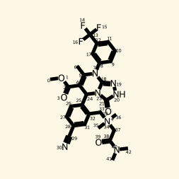 COC(=O)C1=C(C)N(c2cccc(C(F)(F)F)c2)c2n[nH]c(=O)n2C1c1ccc(C#N)cc1C[N+](C)(C)CC(=O)N(C)C